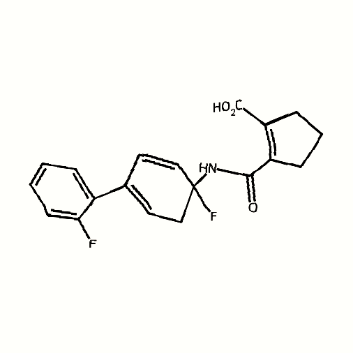 O=C(O)C1=C(C(=O)NC2(F)C=CC(c3ccccc3F)=CC2)CCC1